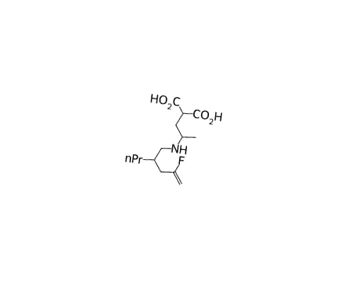 C=C(F)CC(CCC)CNC(C)CC(C(=O)O)C(=O)O